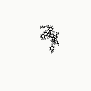 C=CCN(C(=O)NCc1ccc(F)cc1)N1CC(=O)N2[C@@H](Cc3ccc(OC)cc3)C(=O)N(Cc3cccc4ccccc34)C[C@@H]21